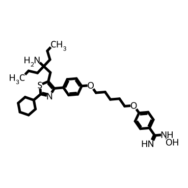 CCCC(N)(CCC)Cc1sc(C2CCCCC2)nc1-c1ccc(OCCCCCOc2ccc(C(=N)NO)cc2)cc1